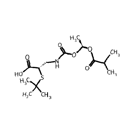 CC(C)C(=O)O[C@H](C)OC(=O)NC[C@H](SC(C)(C)C)C(=O)O